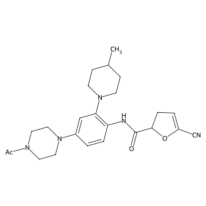 CC(=O)N1CCN(c2ccc(NC(=O)C3CC=C(C#N)O3)c(N3CCC(C)CC3)c2)CC1